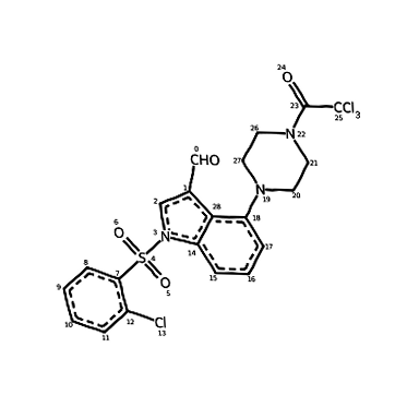 O=Cc1cn(S(=O)(=O)c2ccccc2Cl)c2cccc(N3CCN(C(=O)C(Cl)(Cl)Cl)CC3)c12